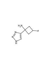 NC1(c2c[nH]nn2)CC(F)C1